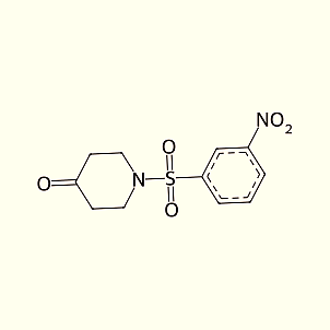 O=C1CCN(S(=O)(=O)c2cccc([N+](=O)[O-])c2)CC1